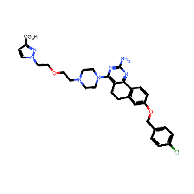 Nc1nc2c(c(N3CCN(CCOCCn4ccc(C(=O)O)n4)CC3)n1)CCc1cc(OCc3ccc(Cl)cc3)ccc1-2